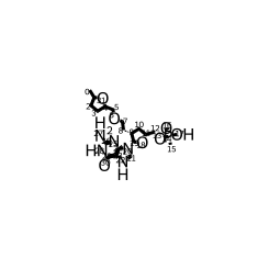 CC1CCC(COCC[C@@H]2CC(COP(C)(=O)O)OC2N2CNc3c2nc(N)[nH]c3=O)O1